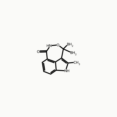 BC1(B)ONC(=O)c2cccc3[nH]c(C)c1c23